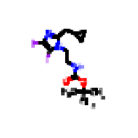 CC(C)(C)OC(=O)NCCn1c(CC2CC2)nc(I)c1I